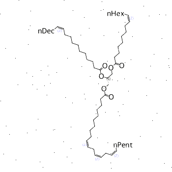 CCCCC/C=C\C/C=C\C/C=C\CCCCCCCCC(=O)OC[C@@H](COC(=O)CCCCCCC/C=C\CCCCCC)OC(=O)CCCCCCCCC/C=C\CCCCCCCCCC